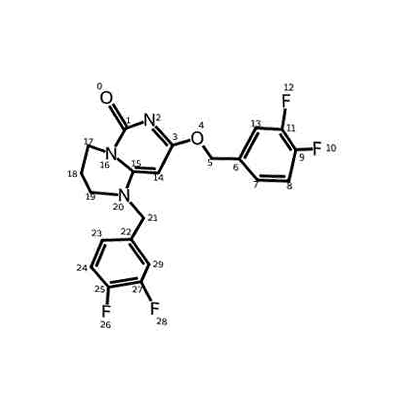 O=c1nc(OCc2ccc(F)c(F)c2)cc2n1CCCN2Cc1ccc(F)c(F)c1